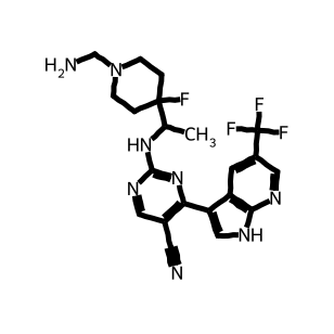 CC(Nc1ncc(C#N)c(-c2c[nH]c3ncc(C(F)(F)F)cc23)n1)C1(F)CCN(CN)CC1